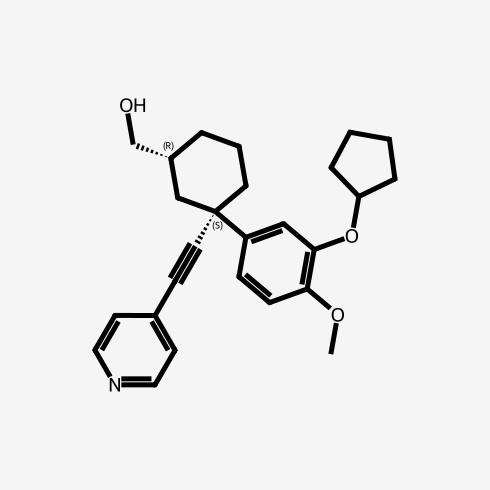 COc1ccc([C@]2(C#Cc3ccncc3)CCC[C@@H](CO)C2)cc1OC1CCCC1